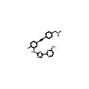 Cc1ccc(C#Cc2ccc(CN(C)C)cc2)cc1Nc1nc(-c2nccc(N)n2)cs1